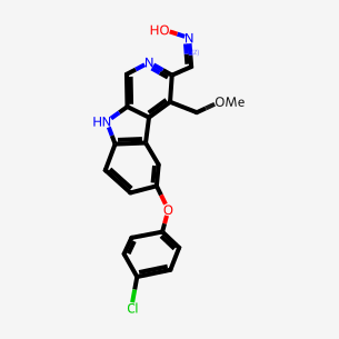 COCc1c(/C=N\O)ncc2[nH]c3ccc(Oc4ccc(Cl)cc4)cc3c12